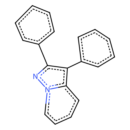 c1ccc(-c2nn3ccccc3c2-c2ccccc2)cc1